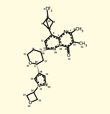 Cc1nc2c(C34CC(C(F)(F)F)(C3)C4)cc([C@H]3CCO[C@@H](c4cnn(C5COC5)c4)C3)nn2c(=O)c1C